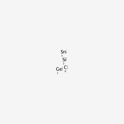 [C].[Ge].[Si].[Sn]